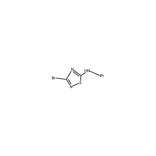 CC(C)Nc1nc(Br)ns1